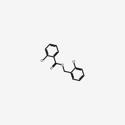 O=C(OCc1ccccc1Cl)c1ccccc1Cl